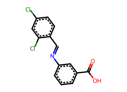 O=C(O)c1cccc(N=Cc2ccc(Cl)cc2Cl)c1